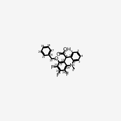 CN1c2ccccc2C(C(=O)O)c2c(OCc3ccccc3)c(F)c(F)c(F)c21